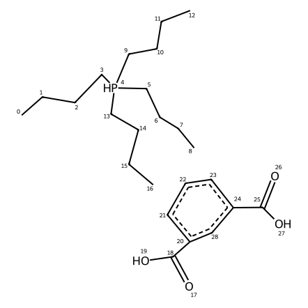 CCCC[PH](CCCC)(CCCC)CCCC.O=C(O)c1cccc(C(=O)O)c1